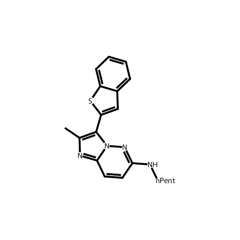 CCCCCNc1ccc2nc(C)c(-c3cc4ccccc4s3)n2n1